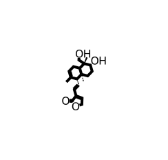 CC1=CCC2[C@](C)(CO)[C@H](O)CC[C@@]2(C)[C@@H]1/C=C/C1=CCOC1=O